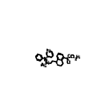 CC(=O)N(CCC1CCCc2c(C(=O)C(=O)O)cccc21)N(c1ccccc1)c1cccnc1